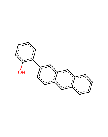 Oc1ccccc1-c1ccc2cc3ccccc3cc2c1